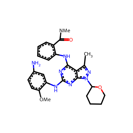 CNC(=O)c1ccccc1Nc1nc(Nc2cc(N)ccc2OC)nc2c1c(C)nn2C1CCCCO1